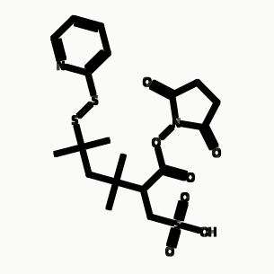 CC(C)(CC(C)(C)C(CS(=O)(=O)O)C(=O)ON1C(=O)CCC1=O)SSc1ccccn1